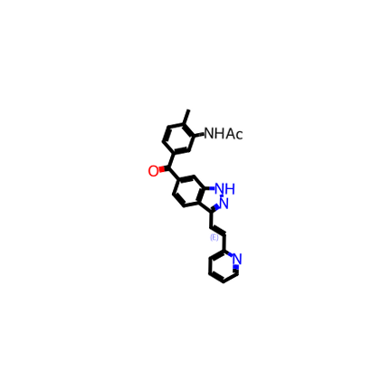 CC(=O)Nc1cc(C(=O)c2ccc3c(/C=C/c4ccccn4)n[nH]c3c2)ccc1C